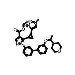 CCOC(=O)c1cnn(-c2cccc(-c3cccc(OC(C)C4CCOCC4)c3)c2)c1C1CC1C1=CN(C)NN1